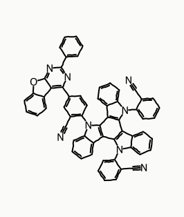 N#Cc1ccccc1-n1c2ccccc2c2c1c1c3ccccc3n(-c3ccc(-c4nc(-c5ccccc5)nc5oc6ccccc6c45)cc3C#N)c1c1c3ccccc3n(-c3ccccc3C#N)c21